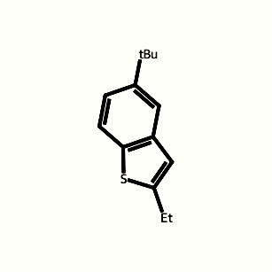 CCc1cc2cc(C(C)(C)C)ccc2s1